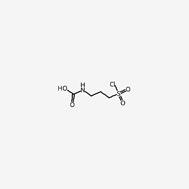 O=C(O)NCCCS(=O)(=O)Cl